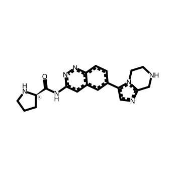 O=C(Nc1cc2cc(-c3cnc4n3CCNC4)ccc2nn1)[C@H]1CCCN1